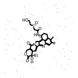 CC[C@@]1(O)C(=O)OCc2c1cc1n(c2=O)Cc2c-1nc1cc(F)c(C)c3c1c2[C@@H](NC(=O)C[S+]([O-])CCO)CC3